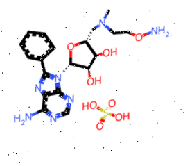 CN(CCON)C[C@H]1O[C@@H](n2c(-c3ccccc3)nc3c(N)ncnc32)[C@H](O)[C@@H]1O.O=S(=O)(O)O